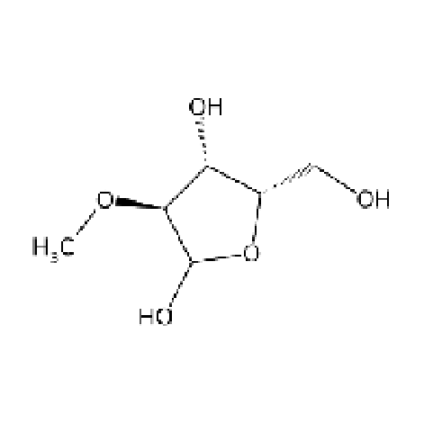 CO[C@@H]1C(O)O[C@@H](CO)[C@H]1O